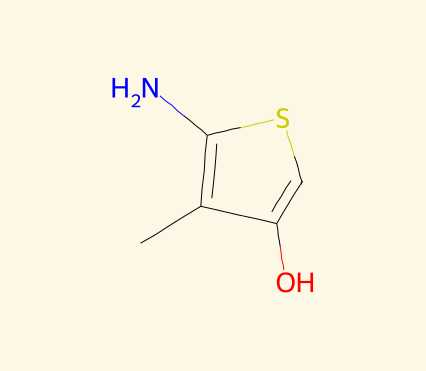 Cc1c(O)csc1N